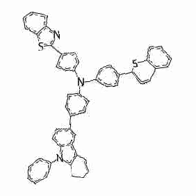 C1=Cc2ccccc2SC=1c1ccc(N(c2ccc(-c3ccc4c(c3)c3c(n4-c4ccccc4)CCC=C3)cc2)c2ccc(-c3nc4ccccc4s3)cc2)cc1